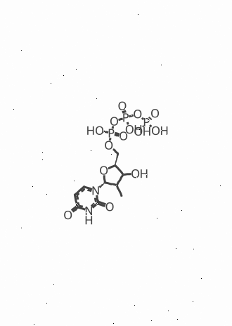 CC1C(O)[C@H](COP(=O)(O)OP(=O)(O)OP(=O)(O)O)O[C@@H]1n1ccc(=O)[nH]c1=O